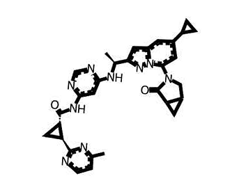 Cc1ccnc([C@H]2C[C@@H]2C(=O)Nc2cc(N[C@@H](C)c3cc4cc(C5CC5)cc(N5CC6CC6C5=O)n4n3)ncn2)n1